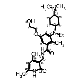 CCN(c1cc(OCCO)cc(C(=O)NCc2c(C)cc(C)[nH]c2=O)c1C)C1CCC(N(C)C)CC1